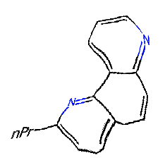 CCCc1ccc2ccc3ncccc3c2n1